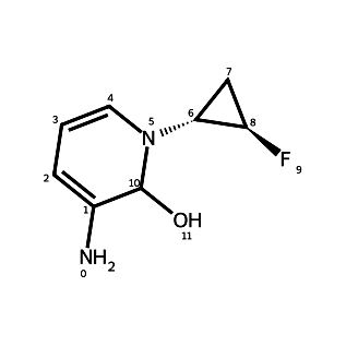 NC1=CC=CN([C@@H]2C[C@H]2F)C1O